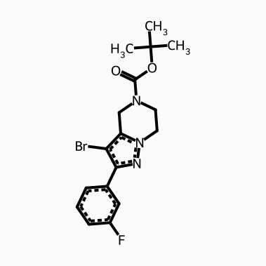 CC(C)(C)OC(=O)N1CCn2nc(-c3cccc(F)c3)c(Br)c2C1